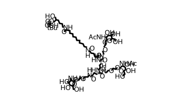 CC(=O)NC1C(OCCOCCNC(=O)CC[C@H](NC(=O)CC[C@H](NC(=O)CCCC(=O)NCCCCCCCCCCCC(=O)NCCCCC(CO)COP(=O)(O)OC(C)(C)C)C(=O)NCCOCCOC2OC(CO)C(O)C(O)C2NC(C)=O)C(=O)NCCOCCOC2OC(CO)C(O)C(O)C2NC(C)=O)OC(CO)C(O)C1O